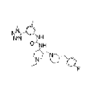 CCN1CC[C@@H](NC(=O)Nc2cc(C)cc(-c3nnnn3C)c2)[C@H](CN2CCC[C@@H](Cc3ccc(F)cc3)C2)C1